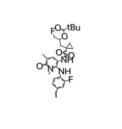 Cc1cc(NS(=O)(=O)C2(CC(CF)OC(=O)C(C)(C)C)CC2)c(Nc2ccc(I)cc2F)n(C)c1=O